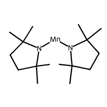 CC1(C)CCC(C)(C)[N]1[Mn][N]1C(C)(C)CCC1(C)C